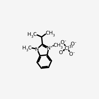 CC(C)c1n(C)c2ccccc2[n+]1C.[O-][Cl+3]([O-])([O-])[O-]